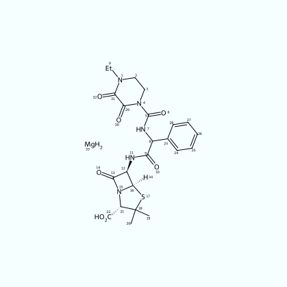 CCN1CCN(C(=O)NC(C(=O)N[C@@H]2C(=O)N3[C@@H]2SC(C)(C)[C@@H]3C(=O)O)c2ccccc2)C(=O)C1=O.[MgH2]